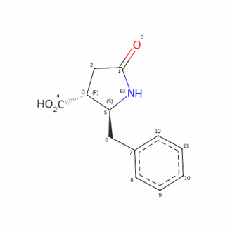 O=C1C[C@@H](C(=O)O)[C@H](Cc2ccccc2)N1